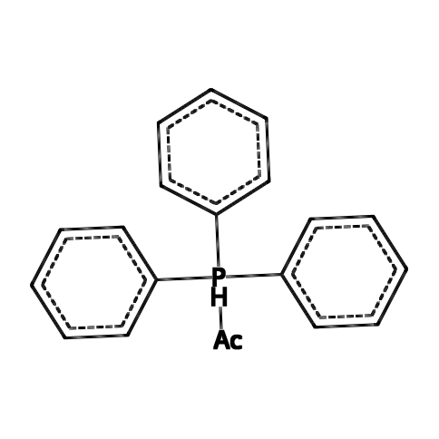 CC(=O)[PH](c1ccccc1)(c1ccccc1)c1ccccc1